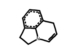 C1=CN2CCc3cccc(c32)C1